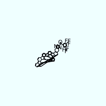 O=C(c1cc(C(F)(F)F)cc(C(F)(F)F)c1)c1cnc2c(n1)CC1=C(C2)C2=c3ccc4c5ccc6c7c8c9c%10c%11c%12c(c3c4c(c%129)c75)C2C2C1=C1C=CC3=C4C=CC6C8C4C=%10C3C1=C%112